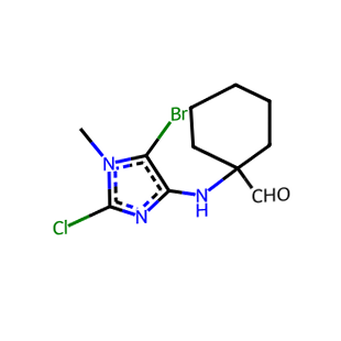 Cn1c(Cl)nc(NC2(C=O)CCCCC2)c1Br